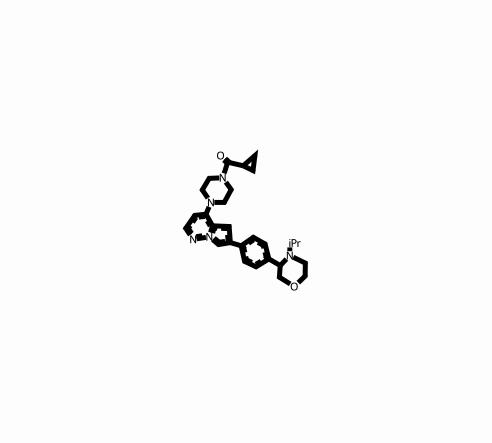 CC(C)N1CCOCC1c1ccc(-c2cc3c(N4CCN(C(=O)C5CC5)CC4)ccnn3c2)cc1